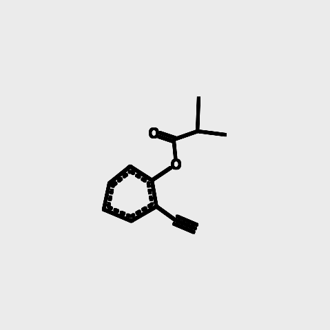 C#Cc1ccccc1OC(=O)C(C)C